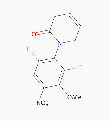 COc1c([N+](=O)[O-])cc(F)c(N2CC=CCC2=O)c1F